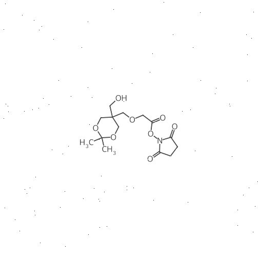 CC1(C)OCC(CO)(COCC(=O)ON2C(=O)CCC2=O)CO1